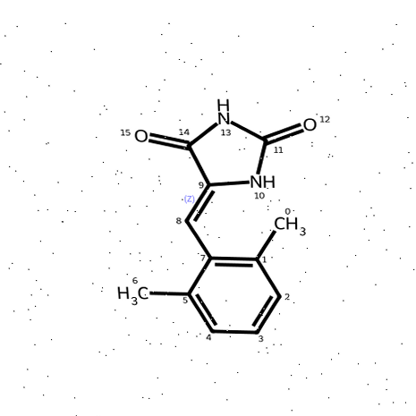 Cc1cccc(C)c1/C=C1\NC(=O)NC1=O